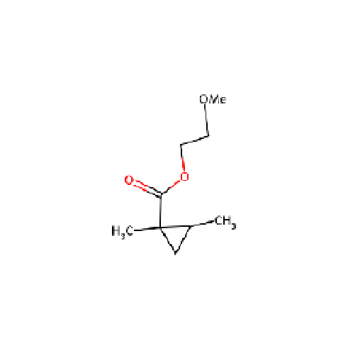 COCCOC(=O)C1(C)CC1C